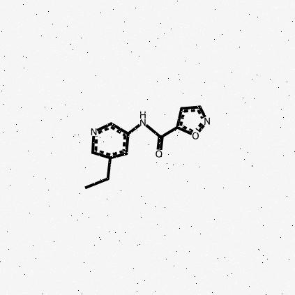 CCc1cncc(NC(=O)c2ccno2)c1